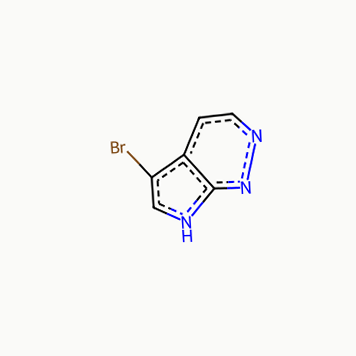 Brc1c[nH]c2nnccc12